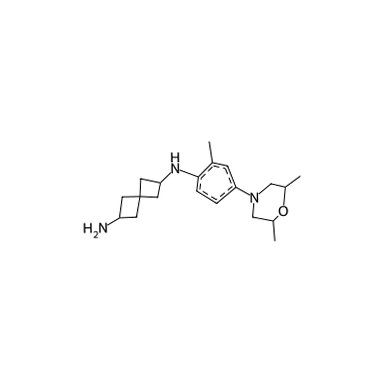 Cc1cc(N2CC(C)OC(C)C2)ccc1NC1CC2(CC(N)C2)C1